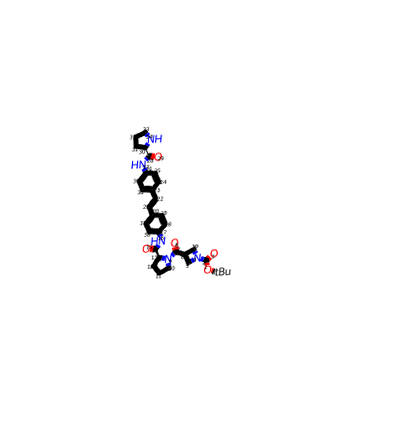 CC(C)(C)OC(=O)N1CC(C(=O)N2CCC[C@H]2C(=O)Nc2ccc(/C=C/c3ccc(NC(=O)[C@@H]4CCCN4)cc3)cc2)C1